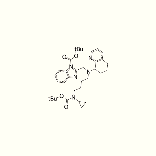 CC(C)(C)OC(=O)N(CCCCN(Cc1nc2ccccc2n1C(=O)OC(C)(C)C)C1CCCc2cccnc21)C1CC1